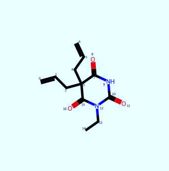 C=CCC1(CC=C)C(=O)NC(=O)N(CC)C1=O